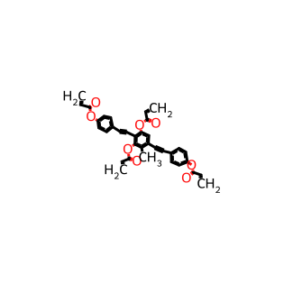 C=CC(=O)Oc1ccc(C#Cc2cc(OC(=O)C=C)c(C#Cc3ccc(OC(=O)C=C)cc3)c(OC(=O)C=C)c2C)cc1